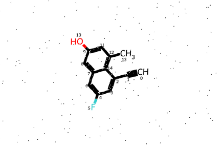 C#Cc1cc(F)cc2cc(O)cc(C)c12